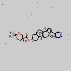 CC1(C)OCC(C)(C(=O)O[C@H]2CC[C@@]3(C)C(=CC[C@H]4C5=CC=C(c6cccnc6)[C@@]5(C)CC[C@@H]43)C2)CO1